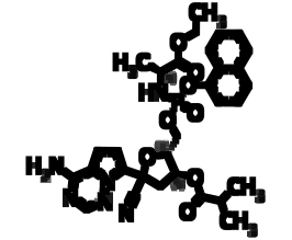 CCOC(=O)[C@H](C)NP(=O)(OC[C@H]1OC(C#N)(c2ccc3c(N)ncnn23)C[C@@H]1OC(=O)C(C)C)Oc1cccc2ccccc12